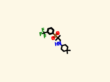 CC1(C)CCC(NCC(C)(C)S(=O)(=O)c2cccc(C(F)(F)F)c2)CC1